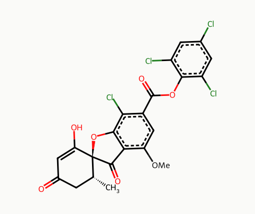 COc1cc(C(=O)Oc2c(Cl)cc(Cl)cc2Cl)c(Cl)c2c1C(=O)[C@@]1(O2)C(O)=CC(=O)C[C@H]1C